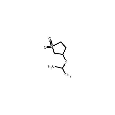 CC(C)SC1CCS(=O)(=O)C1